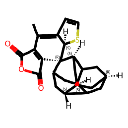 CC1=C2C=CS[C@H]2[C@]2(C3=C1C(=O)OC3=O)C1CC3C4C[C@@H]5CC3[C@H]2[C@@H](C5)[C@H]4C1